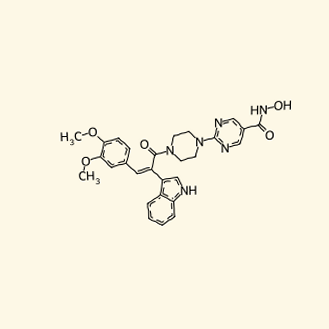 COc1ccc(C=C(C(=O)N2CCN(c3ncc(C(=O)NO)cn3)CC2)c2c[nH]c3ccccc23)cc1OC